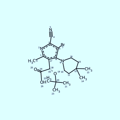 Cc1nc(C#N)c(Br)c(N2CCC(C)(C)CC2)c1[C@H](OC(C)(C)C)C(=O)O